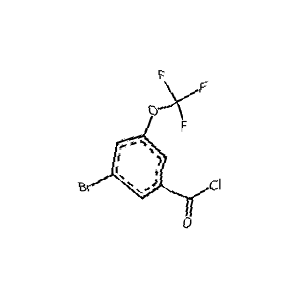 O=C(Cl)c1cc(Br)cc(OC(F)(F)F)c1